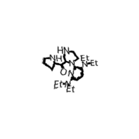 CCN(CC)c1ccc(N(CC)CC)c(N2CCNCC2C(=O)C2CCCN2)n1